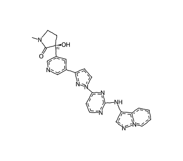 CN1CC[C@](O)(c2cncc(-c3ccn(-c4ccnc(Nc5cnn6ccccc56)n4)n3)c2)C1=O